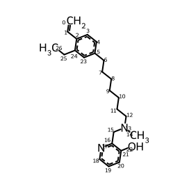 C=Cc1ccc(CCCCCCCN(C)Cc2ncccc2O)cc1CC